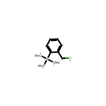 CO[Si](OC)(OC)c1ccccc1CCl